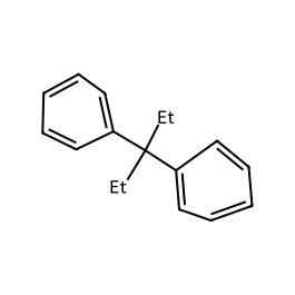 [CH2]CC(CC)(c1ccccc1)c1ccccc1